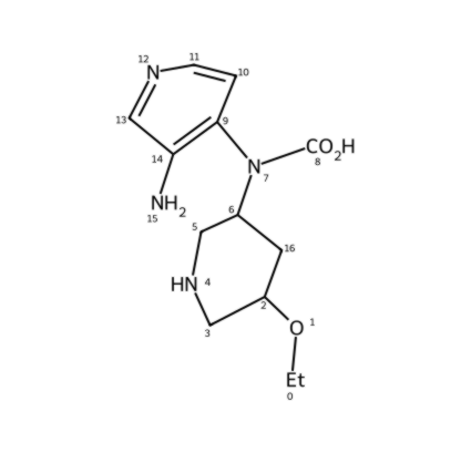 CCOC1CNCC(N(C(=O)O)c2ccncc2N)C1